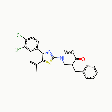 C=C(C)c1sc(NCC(Cc2ccccc2)C(=O)OC)nc1-c1ccc(Cl)c(Cl)c1